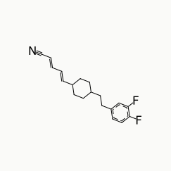 N#CC=CC=CC1CCC(CCc2ccc(F)c(F)c2)CC1